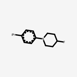 CC(C)c1ccc(N2CCC(F)CC2)cc1